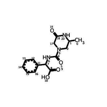 CC1CN(C(=O)NC(C(=O)O)c2ccccc2)CC(=O)N1